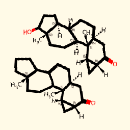 C[C@@]12CCCC1C1CC[C@H]3CC(=O)[C@@H]4C[C@@H]4[C@]3(C)C1CC2.C[C@]12[C@@H](CC[C@@H]3[C@@H]1CC[C@]1(C)C(O)CC[C@@H]31)CC(=O)[C@@H]1C[C@@H]12